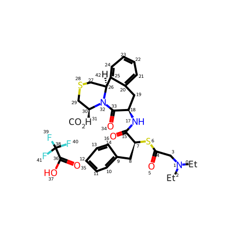 CCN(CC)CC(=O)S[C@@H](Cc1ccccc1)C(=O)N[C@@H]1Cc2ccccc2[C@@H]2CSC[C@H](C(=O)O)N2C1=O.O=C(O)C(F)(F)F